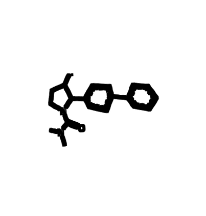 [CH2]C1CCN(C(=O)N(C)C)C1c1ccc(-c2ccccc2)cc1